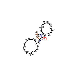 O=C1/C(=C/C2CCCCCCCCCCCCCC2)SC(=S)N1C1CCCCCCCCCCC1